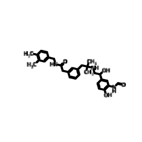 Cc1ccc(CNC(=O)Cc2cccc(CC(C)(C)NCC(O)c3ccc(O)c(NC=O)c3)c2)cc1C